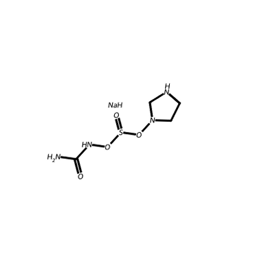 NC(=O)NOS(=O)ON1CCNC1.[NaH]